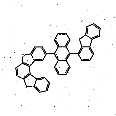 c1ccc2c(c1)sc1c(-c3c4ccccc4c(-c4ccc5oc6ccc7sc8ccccc8c7c6c5c4)c4ccccc34)cccc12